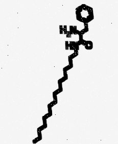 CCCCCCCCCCCCCCCCNC(=O)[C@@H](N)Cc1ccccc1